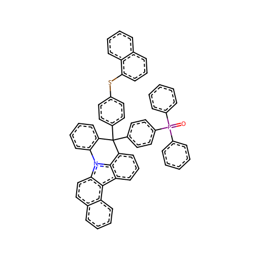 O=P(c1ccccc1)(c1ccccc1)c1ccc(C2(c3ccc(Sc4cccc5ccccc45)cc3)c3ccccc3-n3c4ccc5ccccc5c4c4cccc2c43)cc1